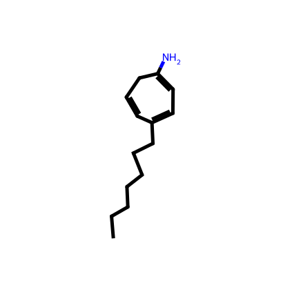 CCCCCCCC1=CC=C(N)CC=C1